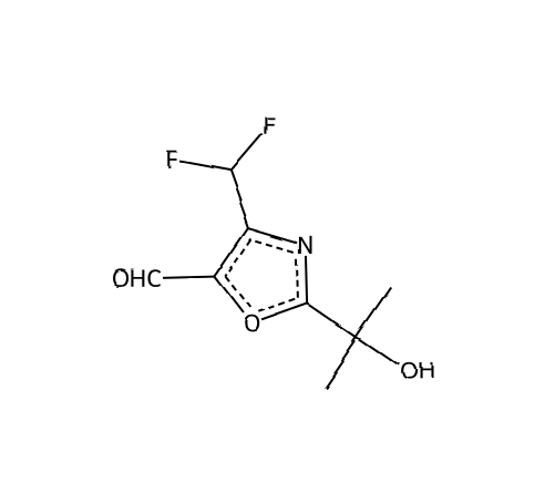 CC(C)(O)c1nc(C(F)F)c(C=O)o1